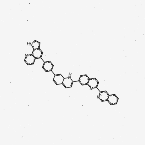 C1=CC2=CC=C(c3ccc4ccc(-c5cc6ccccc6cn5)nc4c3)NC2C=C1c1ccc(-c2cc3cc[nH]c3c3ncccc23)cc1